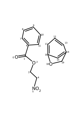 O=C(OCC[N+](=O)[O-])c1ccccc1.c1cc2cc(c1)OC2